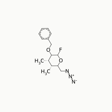 C[C@@H]1C(OCc2ccccc2)C(F)OC(CN=[N+]=[N-])[C@@H]1C